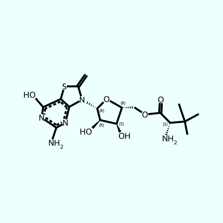 C=C1Sc2c(O)nc(N)nc2N1[C@@H]1O[C@H](COC(=O)[C@@H](N)C(C)(C)C)[C@@H](O)[C@H]1O